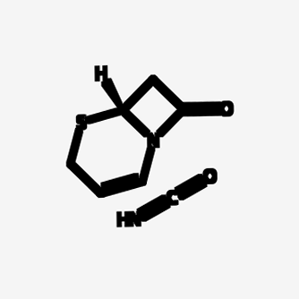 N=C=O.O=C1C[C@H]2SCC=CN12